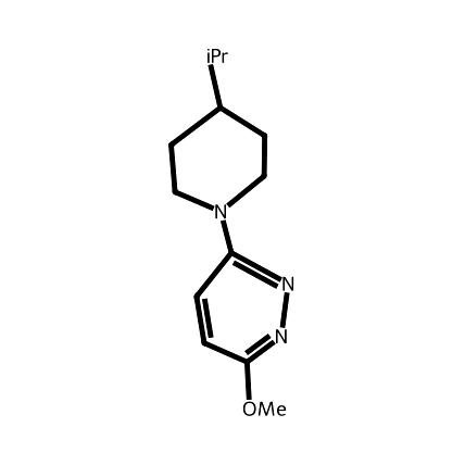 COc1ccc(N2CCC(C(C)C)CC2)nn1